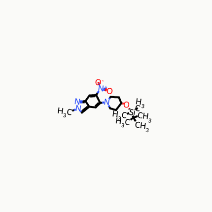 Cn1cc2cc(N3CCC(O[Si](C)(C)C(C)(C)C)CC3)c([N+](=O)[O-])cc2n1